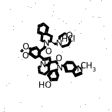 Cl.Cn1ccc2cc(N(C(=O)c3cc(-c4cc5c(cc4C(=O)N4Cc6ccccc6C[C@H]4CN4CCCOCC4)OCO5)n4c3CCCC4)c3ccc(O)cc3)ccc21